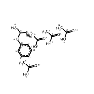 CC(=O)O.CC(=O)O.CC(=O)O.CC(=O)O.CC(N)Oc1ccccc1